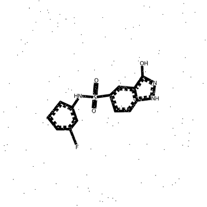 O=S(=O)(Nc1cccc(F)c1)c1ccc2[nH]nc(O)c2c1